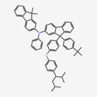 CC(C)CC(c1ccc(Oc2ccc(C3(c4ccc(C(C)(C)C)cc4)c4ccccc4-c4ccc(N(c5ccccc5)c5ccc6c(c5)C(C)(C)c5ccccc5-6)cc43)cc2)cc1)C(C)C